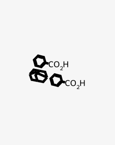 C1C2CC3CC1CC(C2)C3.O=C(O)c1ccccc1.O=C(O)c1ccccc1